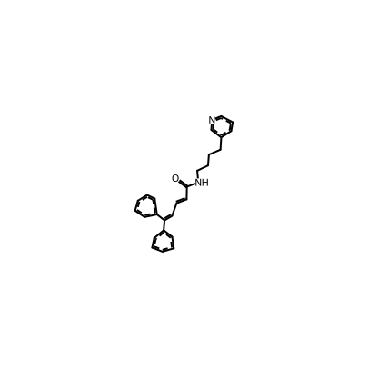 O=C(/C=C/C=C(c1ccccc1)c1ccccc1)NCCCCc1cccnc1